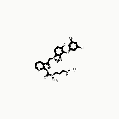 CN(CCCNC(=O)O)C(=O)n1nc(Cn2nnc3c(Oc4cc(Cl)cc(C#N)c4)c(Cl)ccc32)c2cccnc21